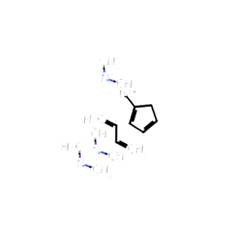 C=CC=C.C[N-]C.C[N-]C.C[N-]C.[Ti+3][C]1=CC=CC1